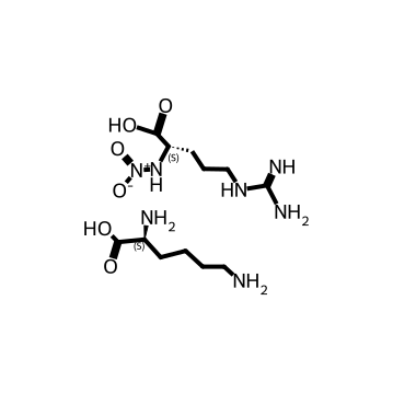 N=C(N)NCCC[C@H](N[N+](=O)[O-])C(=O)O.NCCCC[C@H](N)C(=O)O